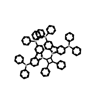 c1ccc(C2C(c3ccccc3)C(n3c4ccc(N(c5ccccc5)c5ccccc5)cc4c4cc(N(c5ccccc5)c5ccccc5)ccc43)C2n2c3ccc(N(c4ccccc4)c4ccccc4)cc3c3cc(N(c4ccccc4)c4ccccc4)ccc32)cc1